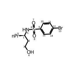 CCC[C@H](CCO)NS(=O)(=O)c1ccc(Br)cc1